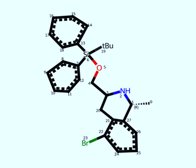 C[C@H]1NC(CO[Si](c2ccccc2)(c2ccccc2)C(C)(C)C)Cc2c(Br)cccc21